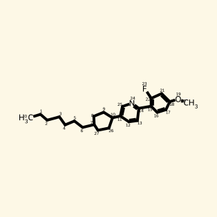 CCCCCCCC1CCC(c2ccc(-c3ccc(OC)cc3F)nc2)CC1